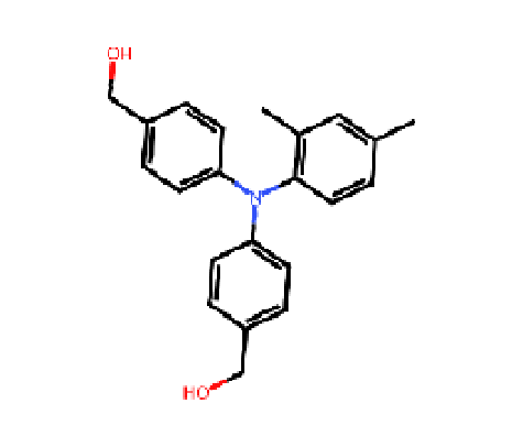 Cc1ccc(N(c2ccc(CO)cc2)c2ccc(CO)cc2)c(C)c1